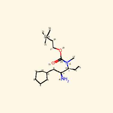 CC[C@@H](C(N)CC1CCCCC1)N(C)C(=O)OCC[Si](C)(C)C